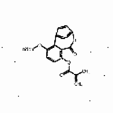 C=C(C)C(=O)Oc1ccc(OCCCCCCCCC)c2c1C(=O)Oc1ccc-2cc1